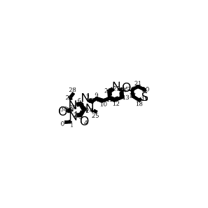 CCn1c(=O)c2c(nc(/C=C/c3ccc(OC4CCSCC4)nc3)n2C)n(CC)c1=O